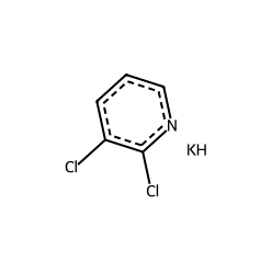 Clc1cccnc1Cl.[KH]